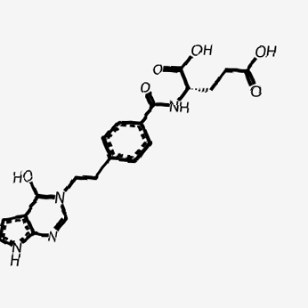 O=C(O)CC[C@H](NC(=O)c1ccc(CCN2C=Nc3[nH]ccc3C2O)cc1)C(=O)O